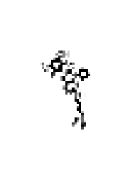 CCN(CC)CCCCNc1ncc2c(n1)N(C1CCCC1)C(=O)N(c1c(F)c(O)cc(OC)c1F)C2